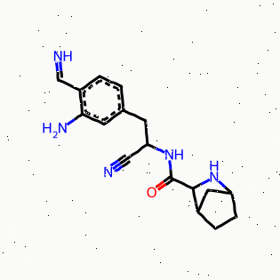 N#CC(Cc1ccc(C=N)c(N)c1)NC(=O)C1NC2CCC1C2